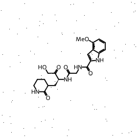 COc1cccc2[nH]c(C(=O)NCC(=O)N[C@@H](CC3CCCNC3=O)C(=O)CO)cc12